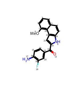 COc1cccc2ccc3[nH]c(C(=O)c4ccc(N)c(F)c4)cc3c12